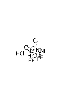 Cl.O=C(c1cc(C(F)(F)F)cc(C(F)(F)F)c1)C(C(Cc1ccccc1)Cc1c[nH]c2ccccc12)N1CCNCC1